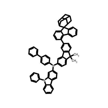 CC1(C)c2ccc(-c3cccc4c3-c3ccccc3C43C4CC5CC(C4)CC3C5)cc2-c2cc(N(c3ccc(-c4ccccc4)cc3)c3ccc4c5ccccc5n(-c5ccccc5)c4c3)ccc21